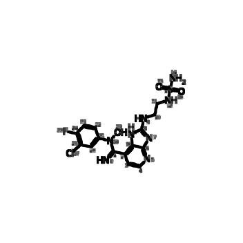 N=C(c1ccnc2nc(NCCNS(N)(=O)=O)[nH]c12)N(O)c1ccc(F)c(Cl)c1